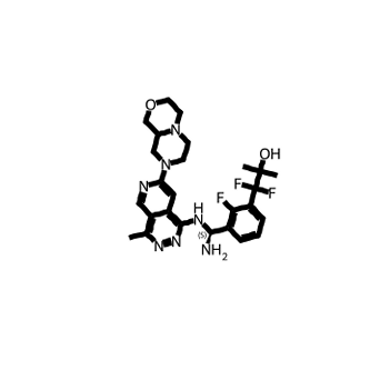 Cc1nnc(N[C@H](N)c2cccc(C(F)(F)C(C)(C)O)c2F)c2cc(N3CCN4CCOCC4C3)ncc12